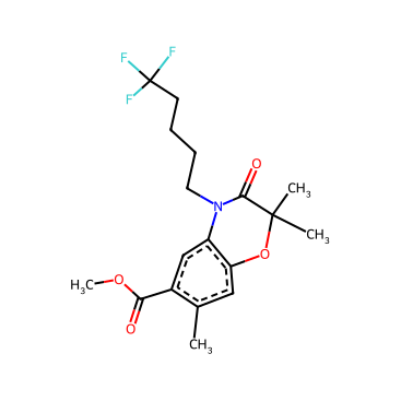 COC(=O)c1cc2c(cc1C)OC(C)(C)C(=O)N2CCCCC(F)(F)F